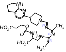 C/C=C(/N=C(C)\N=C\N1CCC(c2ccc3c(n2)NCCC3)CC1)NCC(NC(=O)OCCC(=O)O)C(=O)O